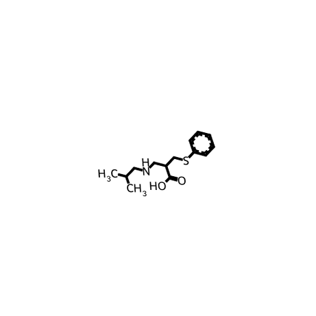 CC(C)CNCC(CSc1ccccc1)C(=O)O